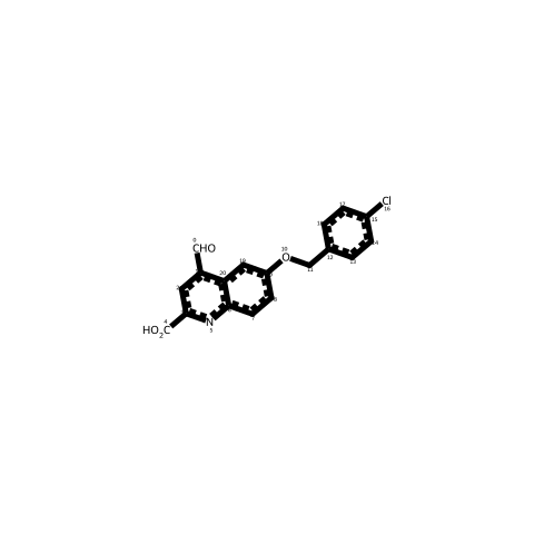 O=Cc1cc(C(=O)O)nc2ccc(OCc3ccc(Cl)cc3)cc12